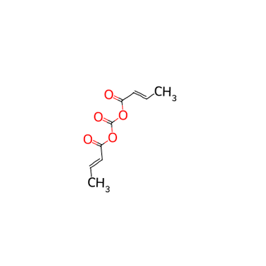 CC=CC(=O)OC(=O)OC(=O)C=CC